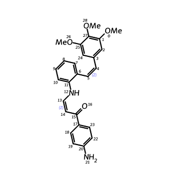 COc1cc(/C=C\c2ccccc2N/C=C\C(=O)c2ccc(N)cc2)cc(OC)c1OC